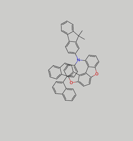 CC1(C)c2ccccc2-c2ccc(N(c3ccc(-c4cccc5ccccc45)cc3)c3cccc4oc5ccc6oc7c8ccccc8ccc7c6c5c34)cc21